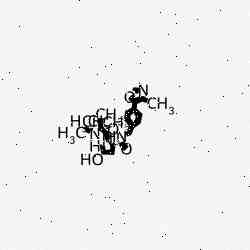 Cc1ncoc1-c1ccc(CNC(=O)[C@@H]2C[C@@H](O)CN2C(=O)[C@@H](NC(C)C)C(C)(C)C)cc1